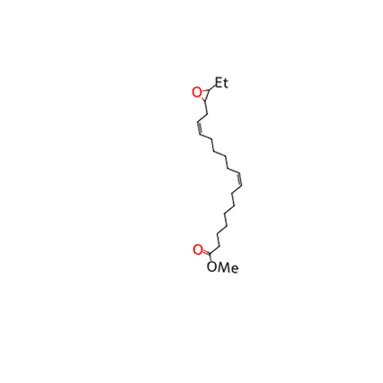 CCC1OC1C/C=C\CCCC/C=C\CCCCCCC(=O)OC